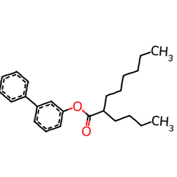 CCCCCCC(CCCC)C(=O)Oc1cccc(-c2ccccc2)c1